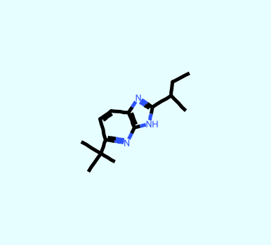 CCC(C)c1nc2ccc(C(C)(C)C)nc2[nH]1